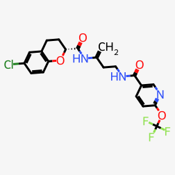 C=C(CCNC(=O)c1ccc(OC(F)(F)F)nc1)NC(=O)[C@H]1CCc2cc(Cl)ccc2O1